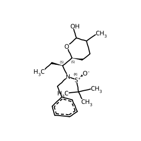 CC[C@@H]([C@@H]1CCC(C)C(O)O1)N(Cc1ccccc1)[S@@+]([O-])C(C)(C)C